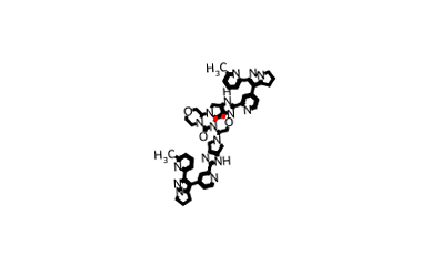 Cc1cccc(-c2nn3c(c2-c2ccnc(-c4nc5c([nH]4)CN(C4COCCN4C(=O)N4CCOCC4N4Cc6nc(-c7cc(-c8c(-c9cccc(C)n9)nn9c8CCC9)ccn7)[nH]c6C4)C5)c2)CCC3)n1